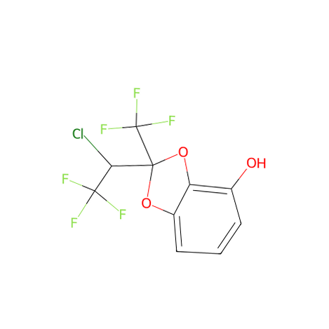 Oc1cccc2c1OC(C(Cl)C(F)(F)F)(C(F)(F)F)O2